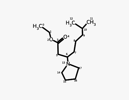 CCOC(=O)CC(CCCC(C)C)N1CCCC1